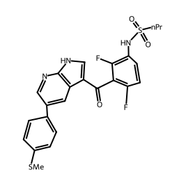 CCCS(=O)(=O)Nc1ccc(F)c(C(=O)c2c[nH]c3ncc(-c4ccc(SC)cc4)cc23)c1F